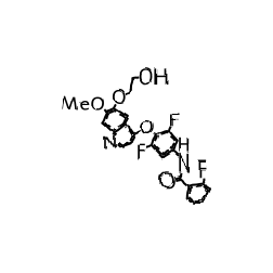 COc1cc2nccc(Oc3c(F)cc(NC(=O)c4ccccc4F)cc3F)c2cc1OCCO